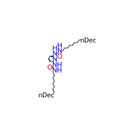 CCCCCCCCCCCCCCCCCCNC(=O)Nc1cccc(NC(=O)NCCCCCCCCCCCCCCCCCC)n1